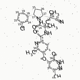 Cc1cc(Oc2ccc(C(=O)NC(C)C(=O)N3[C@H](c4cccc(Cl)c4)CC[C@@H]3C(C)(C)C#N)nc2C)c(=O)[nH]n1